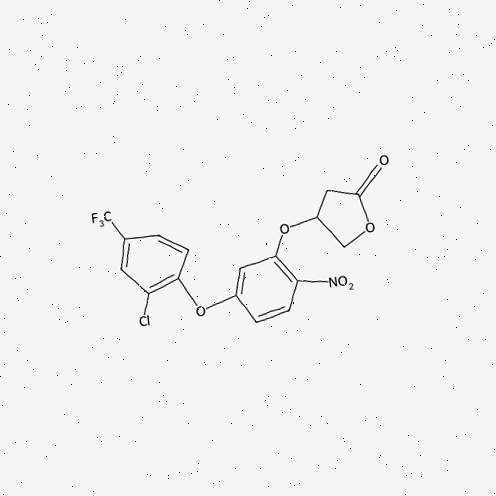 O=C1CC(Oc2cc(Oc3ccc(C(F)(F)F)cc3Cl)ccc2[N+](=O)[O-])CO1